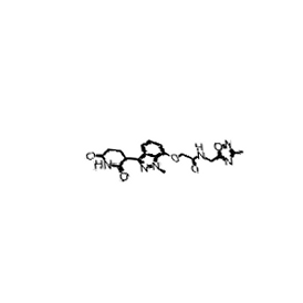 Cc1noc(CNC(=O)COc2cccc3c(C4CCC(=O)NC4=O)nn(C)c23)n1